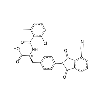 Cc1cccc(Cl)c1C(=O)N[C@@H](Cc1ccc(N2C(=O)c3cccc(C#N)c3C2=O)cc1)C(=O)O